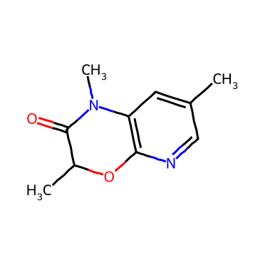 Cc1cnc2c(c1)N(C)C(=O)C(C)O2